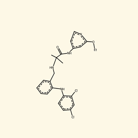 CCOc1cc(NC(=O)C(C)(C)NCc2ccccc2Nc2ccc(Cl)cc2Cl)ccn1